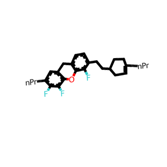 CCCC1=CCC(CCc2ccc3c(c2F)Oc2c(cc(CCC)c(F)c2F)C3)CC1